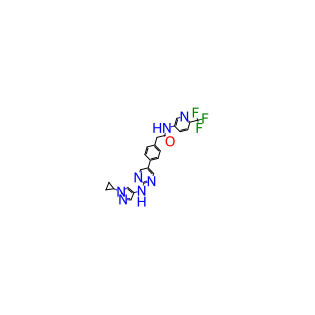 O=C(Cc1ccc(-c2cnc(Nc3cnn(C4CC4)c3)nc2)cc1)Nc1ccc(C(F)(F)F)nc1